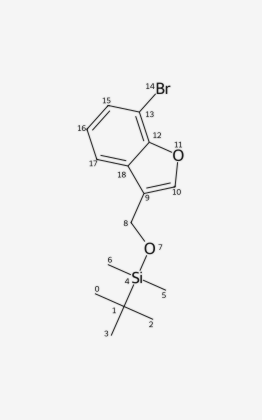 CC(C)(C)[Si](C)(C)OCc1coc2c(Br)cccc12